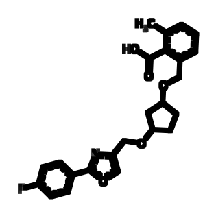 Cc1cccc(COC2CCC(OCc3coc(-c4ccc(F)cc4)n3)C2)c1C(=O)O